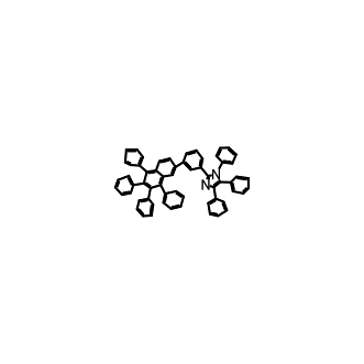 c1ccc(-c2nc(-c3cccc(-c4ccc5c(-c6ccccc6)c(-c6ccccc6)c(-c6ccccc6)c(-c6ccccc6)c5c4)c3)n(-c3ccccc3)c2-c2ccccc2)cc1